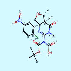 C[C@H]1OC[C@]2(c3cc([N+](=O)[O-])ccc3F)N=C(N(C(=O)O)C(=O)OC(C)(C)C)N(C)C(=O)[C@H]12